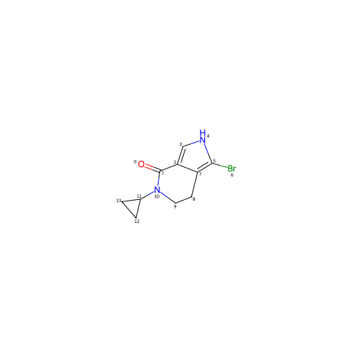 O=C1c2c[nH]c(Br)c2CCN1C1CC1